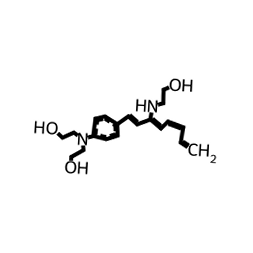 C=C\C=C/C=C(/C=C/c1ccc(N(CCO)CCO)cc1)NCCO